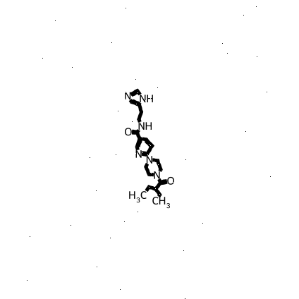 CCC(CC)C(=O)N1CCN(c2ccc(C(=O)NCCc3cnc[nH]3)cn2)CC1